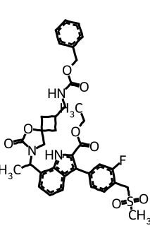 CCOC(=O)c1[nH]c2c(C(C)N3CC4(CC(CNC(=O)OCc5ccccc5)C4)OC3=O)cccc2c1-c1ccc(CS(C)(=O)=O)c(F)c1